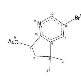 CC(=O)OC1CC(C)(C)c2cc(Br)cnc21